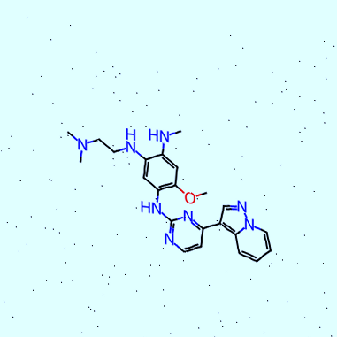 CNc1cc(OC)c(Nc2nccc(-c3cnn4ccccc34)n2)cc1NCCN(C)C